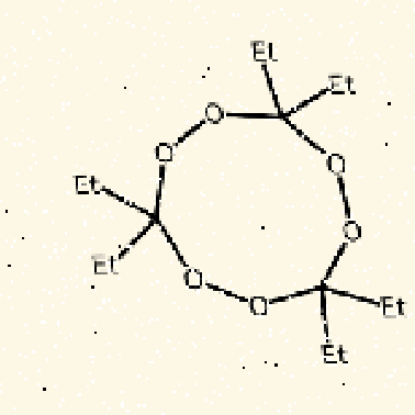 CCC1(CC)OOC(CC)(CC)OOC(CC)(CC)OO1